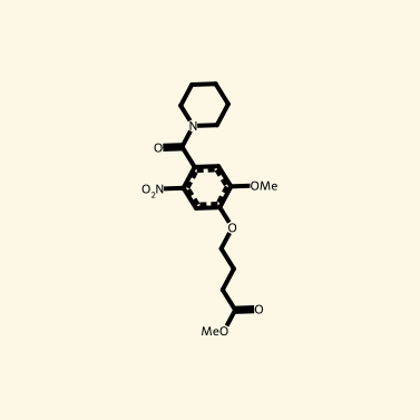 COC(=O)CCCOc1cc([N+](=O)[O-])c(C(=O)N2CCCCC2)cc1OC